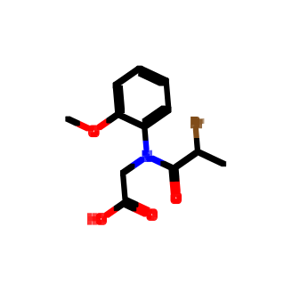 COc1ccccc1N(CC(=O)O)C(=O)C(C)Br